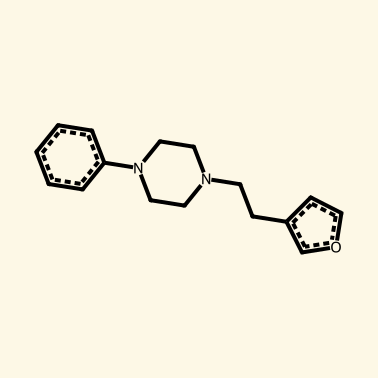 c1ccc(N2CCN(CCc3ccoc3)CC2)cc1